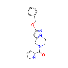 O=C(C1=NCC=C1)N1CCn2nc(OCc3ccccc3)cc2C1